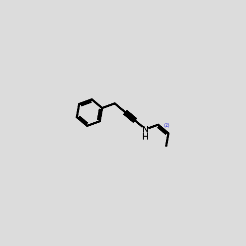 C/C=C\NC#CCc1ccccc1